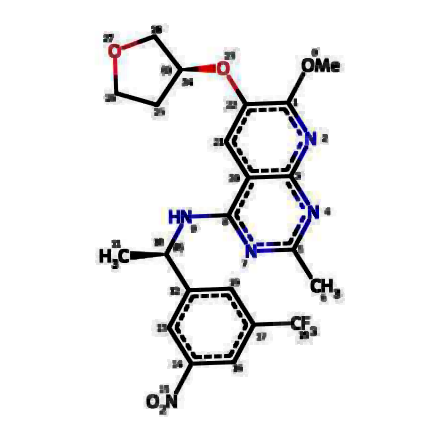 COc1nc2nc(C)nc(N[C@H](C)c3cc([N+](=O)[O-])cc(C(F)(F)F)c3)c2cc1O[C@H]1CCOC1